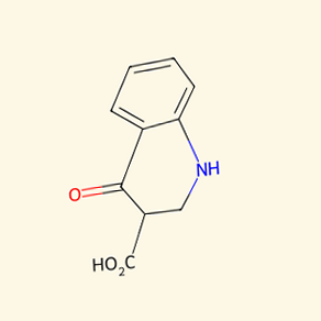 O=C(O)C1CNc2ccccc2C1=O